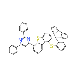 c1ccc(-c2cc(-c3cccc4c3sc3ccc5c(c34)Sc3ccccc3C53c4ccccc4-c4ccccc43)nc(-c3ccccc3)n2)cc1